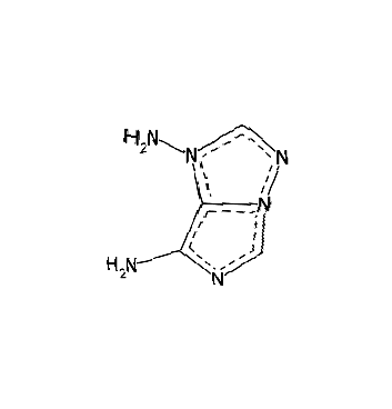 Nc1ncn2ncn(N)c12